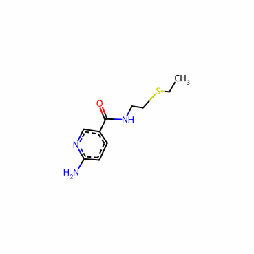 CCSCCNC(=O)c1ccc(N)nc1